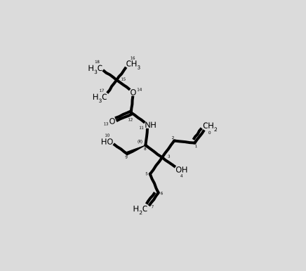 C=CCC(O)(CC=C)[C@@H](CO)NC(=O)OC(C)(C)C